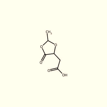 CC1OC(=O)C(CC(=O)O)O1